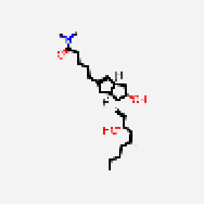 CCCC[C@@H](C)C[C@H](O)/C=C/[C@@H]1[C@H]2CC(CCCCC(=O)N(C)C)=C[C@H]2C[C@H]1O